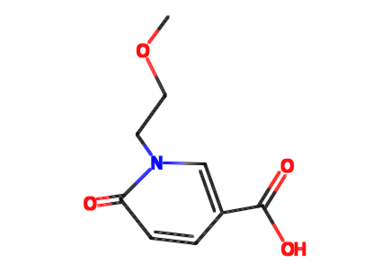 COCCn1cc(C(=O)O)ccc1=O